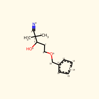 CC(C)(C#N)C(O)CCOCc1ccccc1